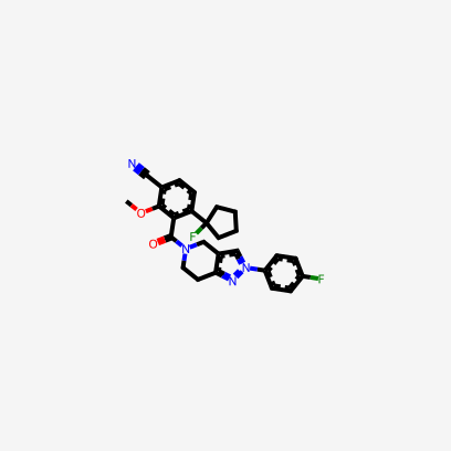 COc1c(C#N)ccc(C2(F)CCCC2)c1C(=O)N1CCc2nn(-c3ccc(F)cc3)cc2C1